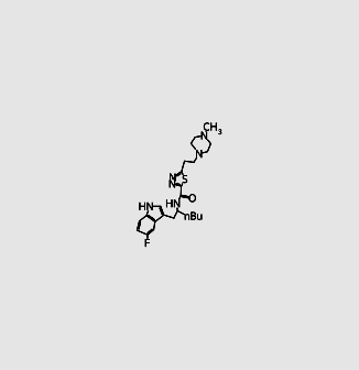 CCCCC(Cc1c[nH]c2ccc(F)cc12)NC(=O)c1nnc(CCN2CCN(C)CC2)s1